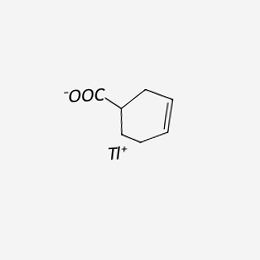 O=C([O-])C1CC=CCC1.[Tl+]